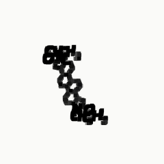 COc1cc2c3ccc4c(ccc5c4ccc4c5cc(OC)n4C)c3ccc2n1C